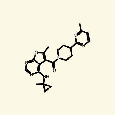 Cc1ccnc(C2CCN(C(=O)c3c(C)oc4ncnc(NC5(C)CC5)c34)CC2)n1